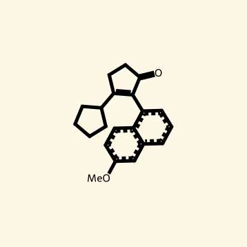 COc1ccc2c(C3=C(C4CCCC4)CCC3=O)cccc2c1